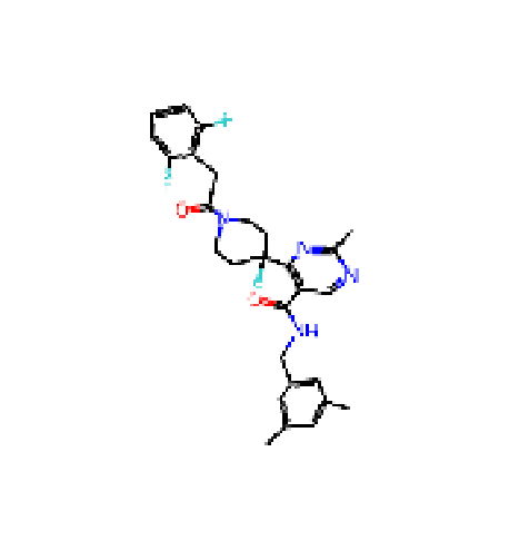 Cc1cc(C)cc(CNC(=O)c2cnc(C)nc2C2(F)CCN(C(=O)Cc3c(F)cccc3F)CC2)c1